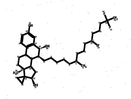 CN(CCCCC[C@H]1C2C(CC[C@@]3(C)C2C[C@@H](O)C32CC2)c2ccc(O)cc2[C@@H]1O)CCC[S+]([O-])CCCC(F)(F)C(F)(F)F